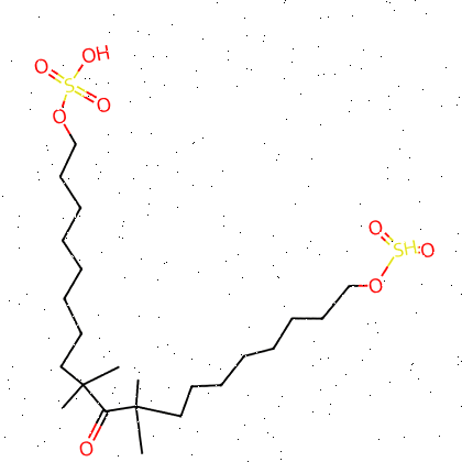 CC(C)(CCCCCCCCO[SH](=O)=O)C(=O)C(C)(C)CCCCCCCCOS(=O)(=O)O